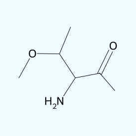 COC(C)C(N)C(C)=O